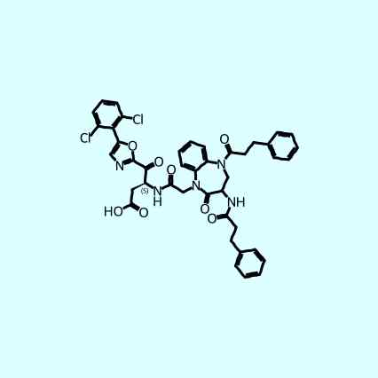 O=C(O)C[C@H](NC(=O)CN1C(=O)C(NC(=O)CCc2ccccc2)CN(C(=O)CCc2ccccc2)c2ccccc21)C(=O)c1ncc(-c2c(Cl)cccc2Cl)o1